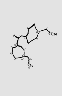 C[C](C1CCN(CC#N)CC1)C1CCCN(CC#N)C1